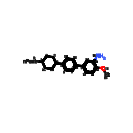 CCCCCC1CCC(c2ccc(-c3ccc(OCC)c(N)c3)cc2)CC1